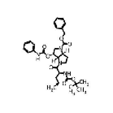 C=CCC(NC(=O)OC(C)(C)C)C(=O)N1CC[C@@H]2[C@H]1[C@@H](OC(=O)Nc1ccccc1)CN2C(=O)OCc1ccccc1